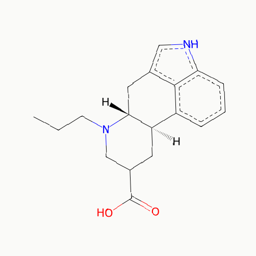 CCCN1CC(C(=O)O)C[C@@H]2c3cccc4[nH]cc(c34)C[C@H]21